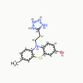 Cc1ccc2c(c1)Sc1cc(Br)ccc1N2CCc1nnn[nH]1